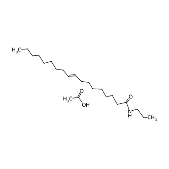 CC(=O)O.CCCCCCCCC=CCCCCCCCC(=O)NCCC